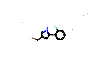 Fc1ccccc1-c1cc(CBr)c[nH]1